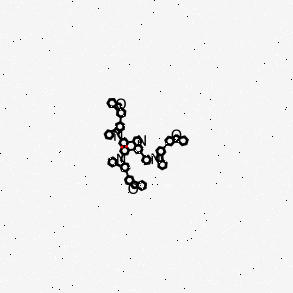 c1cc(-c2cc(-c3cccc(-n4c5ccccc5c5cc(-c6ccc7oc8ccccc8c7c6)ccc54)c3)c3c(-c4cccc(-n5c6ccccc6c6cc(-c7ccc8oc9ccccc9c8c7)ccc65)c4)ccnc3c2)cc(-n2c3ccccc3c3cc(-c4ccc5oc6ccccc6c5c4)ccc32)c1